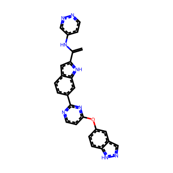 C=C(Nc1ccnnc1)c1cc2ccc(-c3nccc(Oc4ccc5[nH]ncc5c4)n3)cc2[nH]1